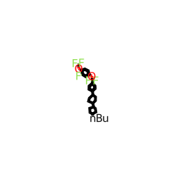 CCCCC1CCC(C2CCC(c3ccc(C(F)(F)Oc4ccc(OC(F)F)c(F)c4)cc3)CC2)CC1